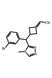 Cn1cnnc1C(c1cccc(Br)c1)C1CC(=CC#N)C1